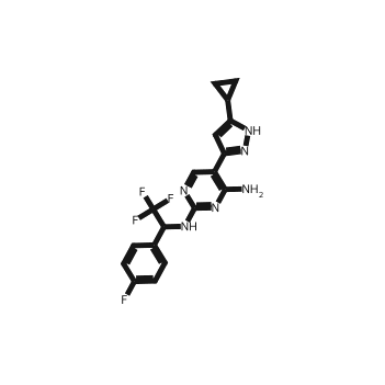 Nc1nc(NC(c2ccc(F)cc2)C(F)(F)F)ncc1-c1cc(C2CC2)[nH]n1